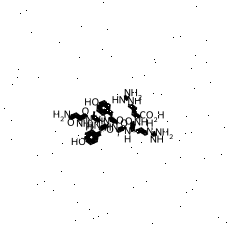 C[C@H](NC(=O)[C@H](Cc1ccc(O)cc1)NC(=O)[C@H](Cc1ccc(O)cc1)NC(=O)[C@H](C)NC(=O)[C@@H](N)CC(N)=O)C(=O)N[C@@H](CCCNC(=N)N)C(=O)N[C@@H](CCCNC(=N)N)C(=O)O